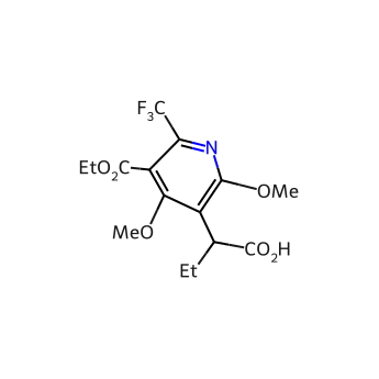 CCOC(=O)c1c(C(F)(F)F)nc(OC)c(C(CC)C(=O)O)c1OC